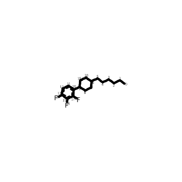 CCCCCCC1CCC(c2ccc(F)c(F)c2F)CC1